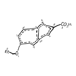 CCOc1ccc2sc(C(=O)O)cc2c1